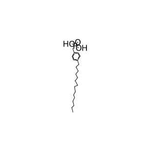 CCCCCCCCCCCCCCCc1ccc(CP(=O)(O)O)cc1